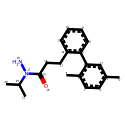 Cc1ccc(C)c(-c2ccccc2CCC(=O)N(N)C(C)C)c1